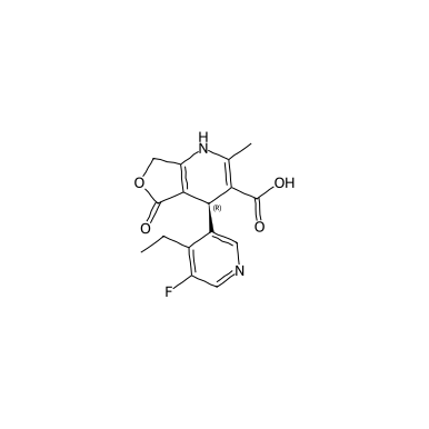 CCc1c(F)cncc1[C@@H]1C(C(=O)O)=C(C)NC2=C1C(=O)OC2